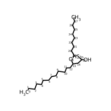 CCCCCCCCCCCCCC(CC(O)S)OCCCCCCCCCC